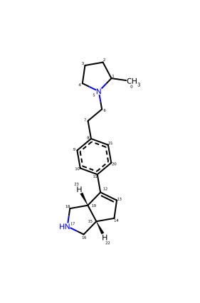 CC1CCCN1CCc1ccc(C2=CC[C@@H]3CNC[C@H]23)cc1